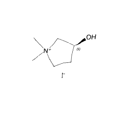 C[N+]1(C)CC[C@H](O)C1.[I-]